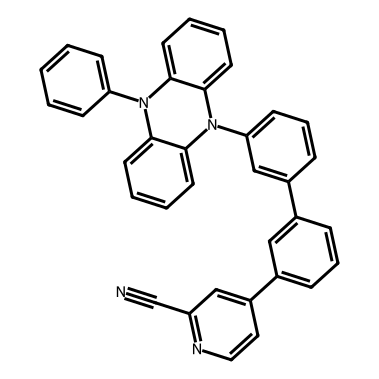 N#Cc1cc(-c2cccc(-c3cccc(N4c5ccccc5N(c5ccccc5)c5ccccc54)c3)c2)ccn1